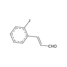 O=C/C=C/c1ccccc1I